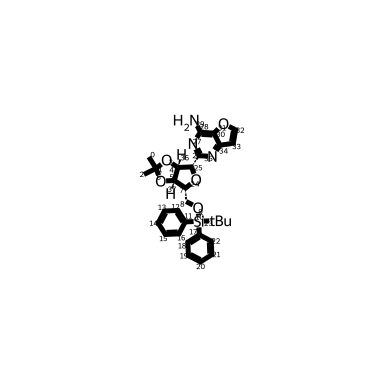 CC1(C)O[C@@H]2[C@H](O1)[C@@H](CO[Si](c1ccccc1)(c1ccccc1)C(C)(C)C)O[C@H]2c1nc(N)c2occc2n1